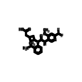 COc1cc(C(F)F)ncc1NC(=O)N(c1ccccc1C(C)C)C1CC(CC(=O)O)C1